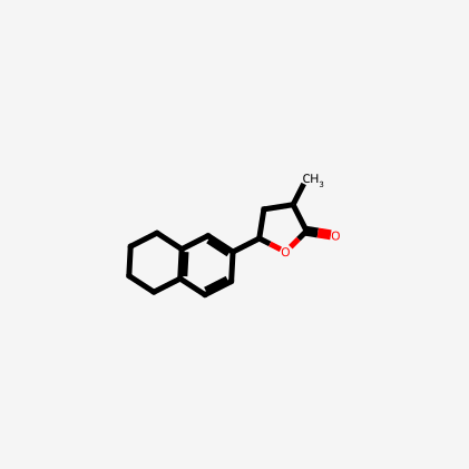 CC1CC(c2ccc3c(c2)CCCC3)OC1=O